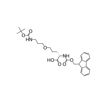 CC(C)(C)OC(=O)NCCCOCCC[C@H](NC(=O)OCC1c2ccccc2-c2ccccc21)C(=O)O